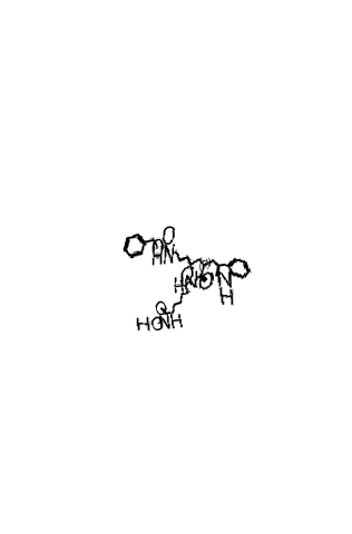 O=C(CCCNC(=O)OCc1ccccc1)C[C@@H](Cc1c[nH]c2ccccc12)C(=O)NCCCCCC(=O)NO